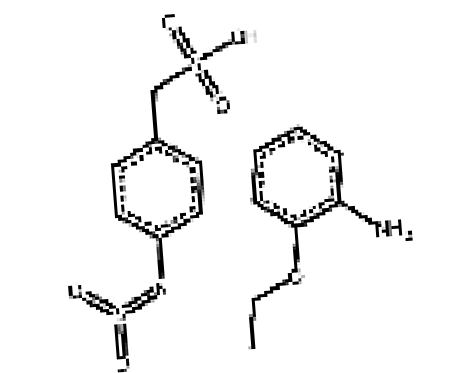 CCOc1ccccc1N.O=S(=O)=Nc1ccc(CS(=O)(=O)O)cc1